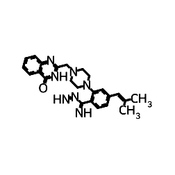 CC(C)=Cc1ccc(C(=N)N=N)c(N2CCN(Cc3nc4ccccc4c(=O)[nH]3)CC2)c1